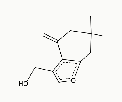 C=C1CC(C)(C)Cc2occ(CO)c21